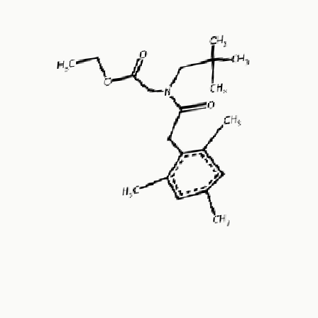 CCOC(=O)CN(CC(C)(C)C)C(=O)Cc1c(C)cc(C)cc1C